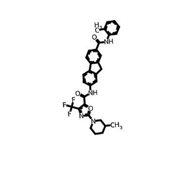 Cc1ccccc1NC(=O)c1ccc2c(c1)Cc1cc(NC(=O)c3oc(N4CCCC(C)C4)nc3C(F)(F)F)ccc1-2